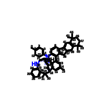 CC1=CC=C(Nc2ccc3c(c2-c2cc(C)cc4c2BC2=C\Nc5ccccc5C(C)(C)/C4=C/C=C\2)Cc2cc4c(cc2-3)C(C)(C)CCC4(C)C)CC1